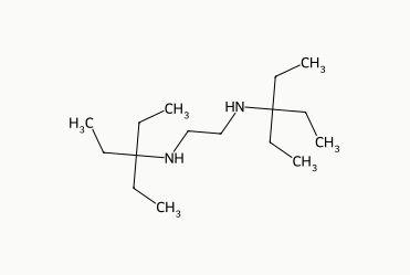 CCC(CC)(CC)NCCNC(CC)(CC)CC